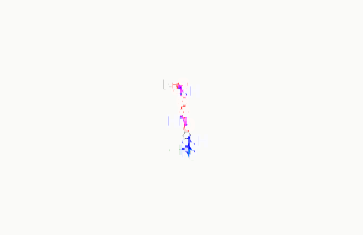 CC(C)(C)OC(=O)NCCOCCOCCNC(=O)Cc1ccc(Nc2nc(Cl)nc(Cl)n2)cc1